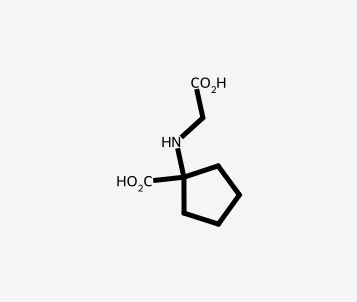 O=C(O)CNC1(C(=O)O)CCCC1